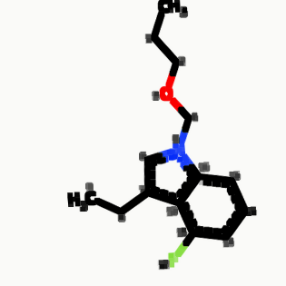 CCCOCn1cc(CC)c2c(F)cccc21